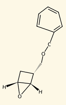 c1ccc(COC[C@H]2C[C@H]3O[C@@H]23)cc1